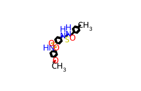 CCOc1ccc(NS(=O)(=O)c2ccc(NC(=S)NC(=O)c3ccc(C)cc3)cc2)cc1